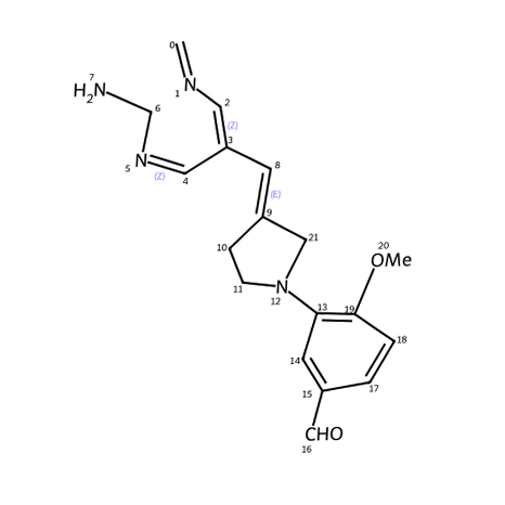 C=N/C=C(\C=N/CN)/C=C1\CCN(c2cc(C=O)ccc2OC)C1